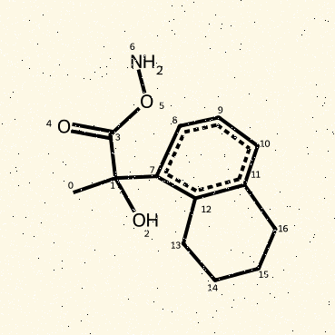 CC(O)(C(=O)ON)c1cccc2c1CCCC2